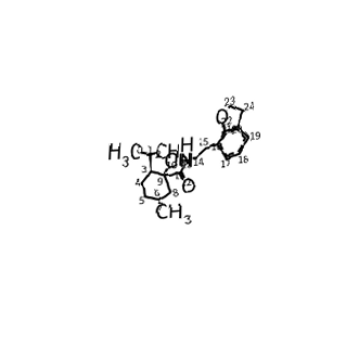 CC(C)[C@@H]1CC[C@@H](C)C[C@@]1(O)C(=O)NCCc1cccc2c1OCC2